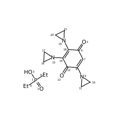 CCP(=O)(O)CC.O=C1C=C(N2CC2)C(=O)C(N2CC2)=C1N1CC1